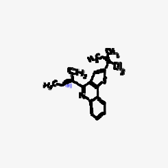 C/C=C(\C)c1nc2ccccc2c2sc([Si](C)(C)C)cc12